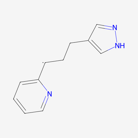 [CH](CCc1cn[nH]c1)c1ccccn1